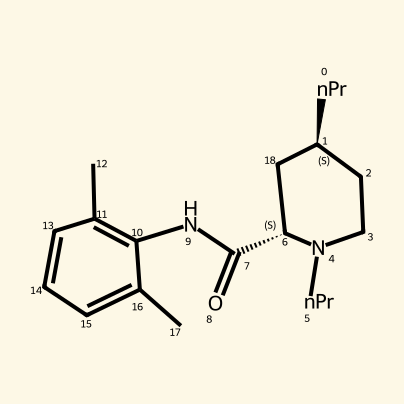 CCC[C@H]1CCN(CCC)[C@H](C(=O)Nc2c(C)cccc2C)C1